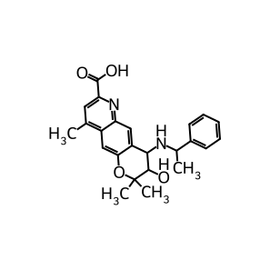 Cc1cc(C(=O)O)nc2cc3c(cc12)OC(C)(C)C(O)C3NC(C)c1ccccc1